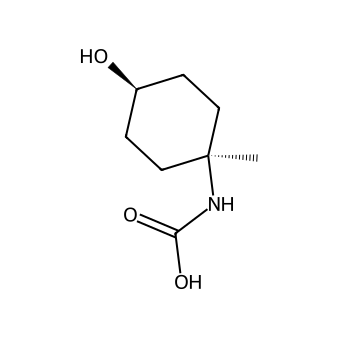 C[C@]1(NC(=O)O)CC[C@@H](O)CC1